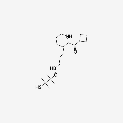 CC(C)(S)C(C)(C)OBCCCC1CCCNC1C(=O)C1CCC1